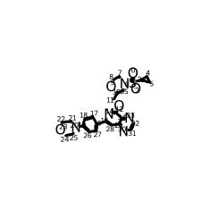 O=S(=O)(C1CC1)N1CCOC(COc2nc(-c3ccc(N4CCOCC4)cc3)cc3nccnc23)C1